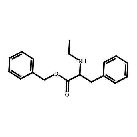 CCNC(Cc1ccccc1)C(=O)OCc1ccccc1